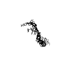 CN1CCOc2ncc(S(=O)(=O)N3CCC4(CC3)CC(NCC(O)COc3cccc(S(=O)(=O)NCCO)c3)CO4)cc21